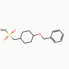 CNS(=O)(=O)CC1CCC(OCc2ccccc2)CC1